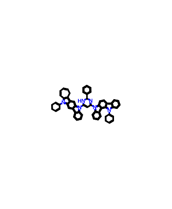 C1=CCCC(n2c3ccccc3c3ccc4c(c5ccccc5n4C4=NC(c5ccccc5)NC(n5c6ccccc6c6cc7c(cc65)c5c(n7C6=CCCC=C6)C=CC=CC5)=C4)c32)=C1